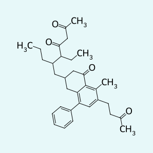 CCCC(CC1CC(=O)c2c(C)c(CCC(C)=O)cc(-c3ccccc3)c2C1)C(CC)C(=O)CC(C)=O